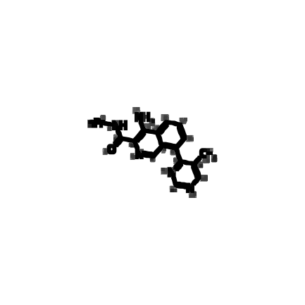 CCCNC(=O)c1ncc2c(-c3ncncc3C(F)(F)F)cccc2c1N